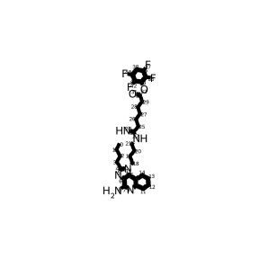 CCCCc1nc2c(N)nc3ccccc3c2n1CCCCNC(=N)CCCCCC(=O)Oc1c(F)c(F)cc(F)c1F